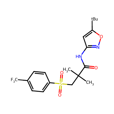 CC(C)(CS(=O)(=O)c1ccc(C(F)(F)F)cc1)C(=O)Nc1cc(C(C)(C)C)on1